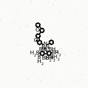 Bc1c(B)c(B)c2c(c1B)c1c(B)c(B)c(B)c(B)c1n2-c1nc(-c2ccccc2)nc(-c2ccc3oc4ccc(-c5cccc6c5oc5ccccc56)cc4c3c2)n1